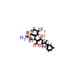 CCC[C@]1(C(C)c2ccccc2)CC(O)=C([C@@H](CC)c2cc(C(F)(F)F)cnc2S(N)(=O)=O)C(=O)O1